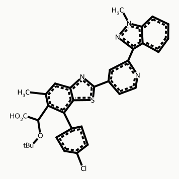 Cc1cc2nc(-c3ccnc(-c4nn(C)c5ccccc45)c3)sc2c(-c2ccc(Cl)cc2)c1C(OC(C)(C)C)C(=O)O